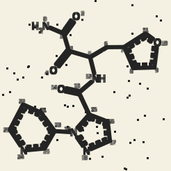 NC(=O)C(=O)C(Cc1ccoc1)NC(=O)c1ccnn1-c1cccnc1